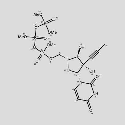 CC#C[C@]1(O)[C@H](O)[C@@H](COP(=O)(OC)OP(=O)(OC)OP(=O)(OC)OC)O[C@H]1n1ccc(=O)[nH]c1=O